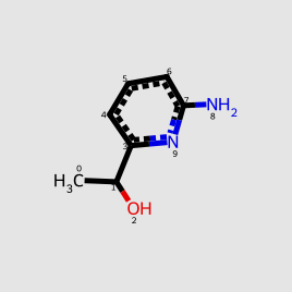 CC(O)c1cccc(N)n1